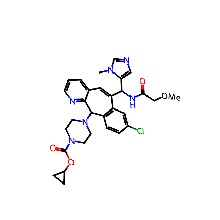 COCC(=O)NC(C1=Cc2cccnc2C(N2CCN(C(=O)OC3CC3)CC2)c2ccc(Cl)cc21)c1cncn1C